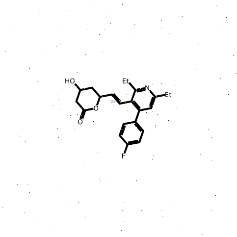 CCc1cc(-c2ccc(F)cc2)c(/C=C/C2CC(O)CC(=O)O2)c(CC)n1